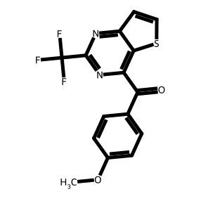 COc1ccc(C(=O)c2nc(C(F)(F)F)nc3ccsc23)cc1